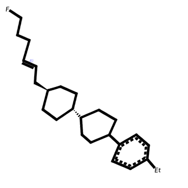 CCc1ccc(C2CCC([C@H]3CC[C@H](C/C=C/CCCF)CC3)CC2)cc1